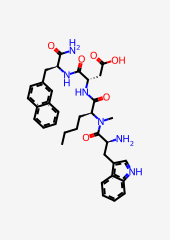 CCCC[C@@H](C(=O)N[C@@H](CC(=O)O)C(=O)N[C@@H](Cc1ccc2ccccc2c1)C(N)=O)N(C)C(=O)[C@@H](N)Cc1c[nH]c2ccccc12